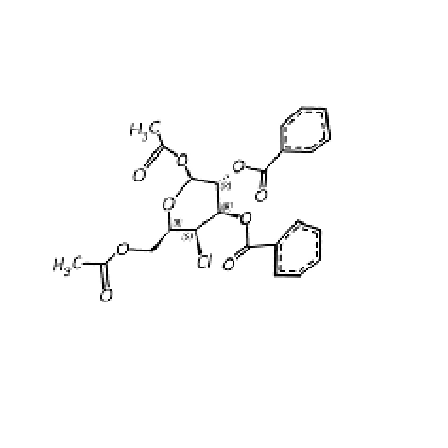 CC(=O)OC[C@H]1OC(OC(C)=O)[C@H](OC(=O)c2ccccc2)[C@@H](OC(=O)c2ccccc2)[C@H]1Cl